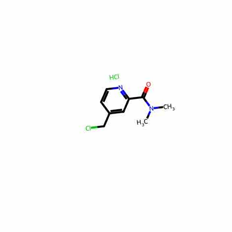 CN(C)C(=O)c1cc(CCl)ccn1.Cl